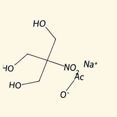 CC(=O)[O-].O=[N+]([O-])C(CO)(CO)CO.[Na+]